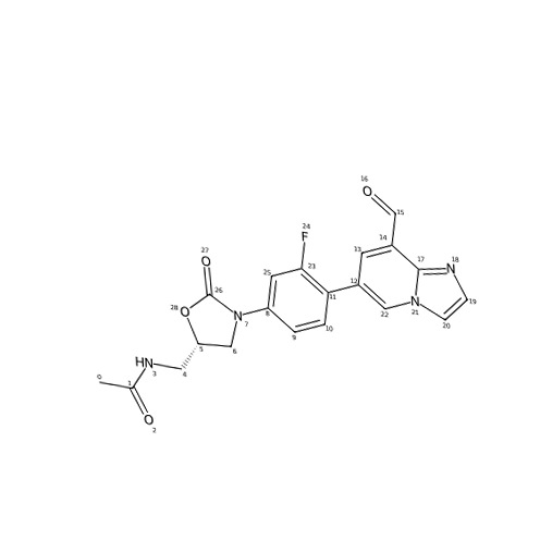 CC(=O)NC[C@H]1CN(c2ccc(-c3cc(C=O)c4nccn4c3)c(F)c2)C(=O)O1